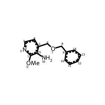 COc1nccc(COCc2ccccc2)c1N